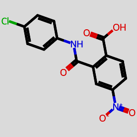 O=C(O)c1ccc([N+](=O)[O-])cc1C(=O)Nc1ccc(Cl)cc1